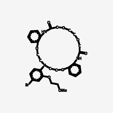 COCCOc1cc(Br)ccc1N1CCOc2ccccc2NC(=O)COCCOCC(=O)Nc2ccccc2OCC1